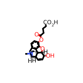 CN1CC[C@]23c4c5ccc(OC(=O)CCCC(=O)O)c4O[C@H]2[C@@H](O)C=C[C@H]3[C@H]1C5